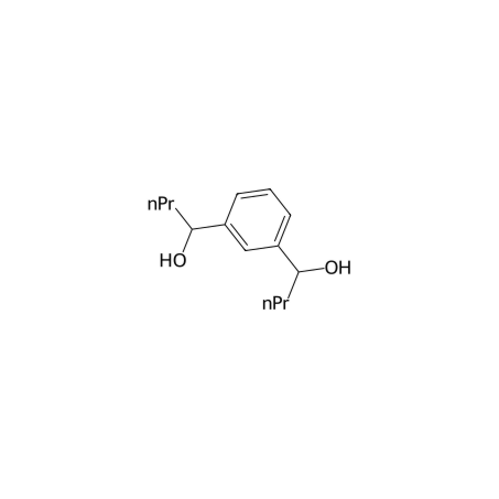 CCCC(O)c1cccc(C(O)CCC)c1